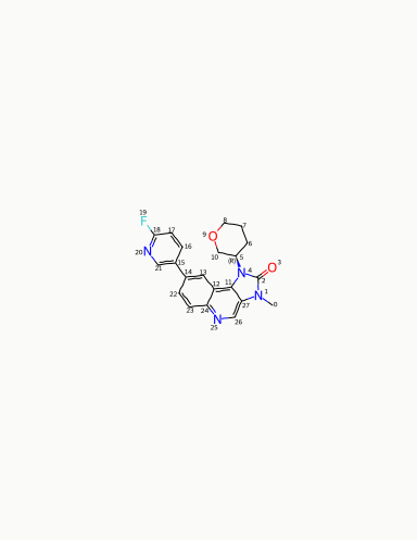 Cn1c(=O)n([C@@H]2CCCOC2)c2c3cc(-c4ccc(F)nc4)ccc3ncc21